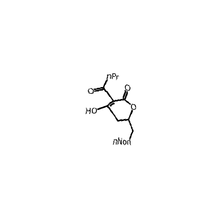 CCCCCCCCCCC1CC(O)=C(C(=O)CCC)C(=O)O1